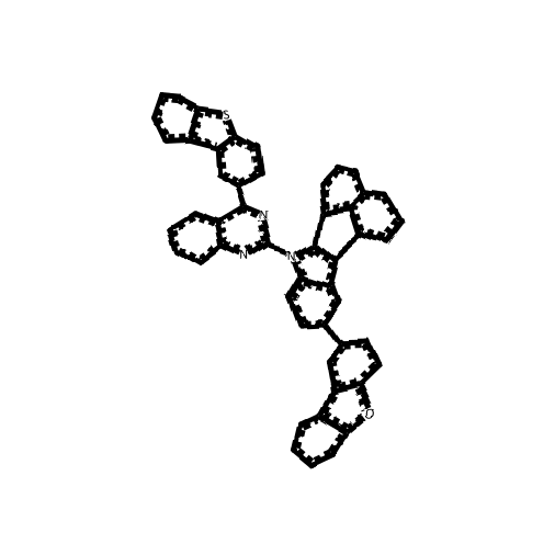 c1cc2c3c(cccc3c1)-c1c-2c2cc(-c3ccc4oc5ccccc5c4c3)ccc2n1-c1nc(-c2ccc3sc4ccccc4c3c2)c2ccccc2n1